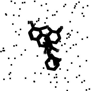 O=C1CCC2(OCC3CCCCC3)[C@H]3Cc4ccc(O)c5c4[C@@]2(CC[N+]3([O-])CC2CC2)C1O5